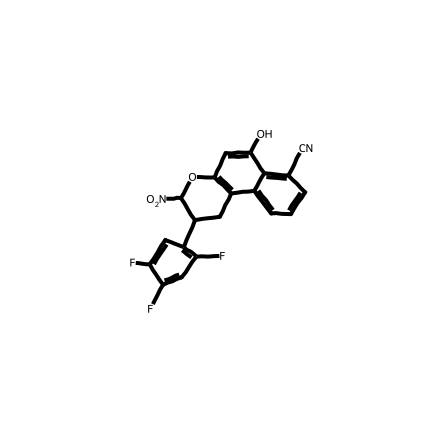 N#Cc1cccc2c3c(cc(O)c12)OC([N+](=O)[O-])C(c1cc(F)c(F)cc1F)C3